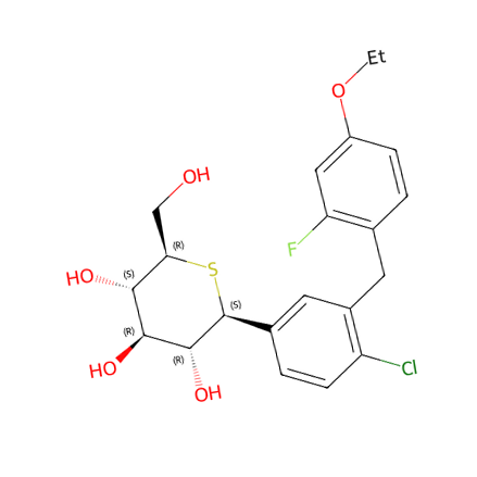 CCOc1ccc(Cc2cc([C@@H]3S[C@H](CO)[C@@H](O)[C@H](O)[C@H]3O)ccc2Cl)c(F)c1